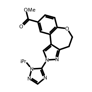 COC(=O)c1ccc2c(c1)-c1cn(-c3ncnn3C(C)C)nc1CCO2